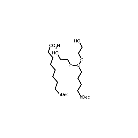 CCCCCCCCCCCCCCCCCC(=O)O.CCCCCCCCCCCCCCN(OCCO)OCCO